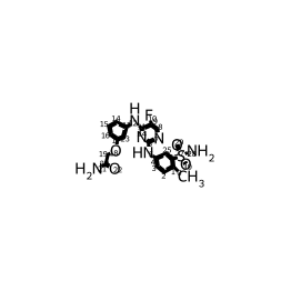 Cc1ccc(Nc2ncc(F)c(Nc3cccc(OCC(N)=O)c3)n2)cc1S(N)(=O)=O